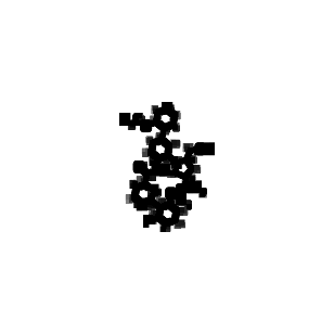 COc1cnccc1-c1ccc(NC(=O)c2ccnc(-c3c(F)cccc3OC)n2)c(N2CC(N)CC2CO)c1